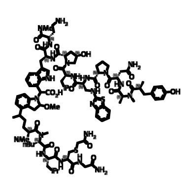 CCCC[C@@H](C(=O)N[C@@H](CC(C)C)C(=O)N[C@@H](CSCC(N)=O)C(=O)NCC(N)=O)N(C)C(=O)[C@H](CCC(C)c1cccc2c1CC(OC)N2C(C(=O)O)c1cccc2c(C[C@H](NC(=O)[C@@H]3C[C@@H](O)CN3C(=O)[C@H](CC(C)C)NC(=O)[C@H](CNc3nc4ccccc4s3)NC(=O)[C@@H]3CCCN3C(=O)[C@H](CC(N)=O)NC(=O)[C@H](C)N(C)C(=O)[C@@H](C)Cc3ccc(O)cc3)C(=O)N[C@@H](CCN)C(=O)NC)c[nH]c12)NC